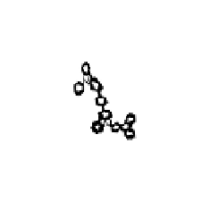 c1ccc(-n2c3ccccc3c3ccc(-c4ccc(-c5ccc6c(c5)c5ccccc5n6-c5ccc6c7ccccc7c7ccccc7c6c5)cc4)cc32)cc1